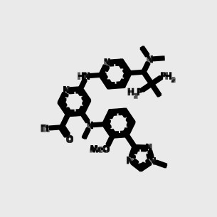 CCC(=O)c1cnc(Nc2ccc(C(N(C)C)C(C)(P)P)cn2)cc1N(C)c1cccc(-c2ncn(C)n2)c1OC